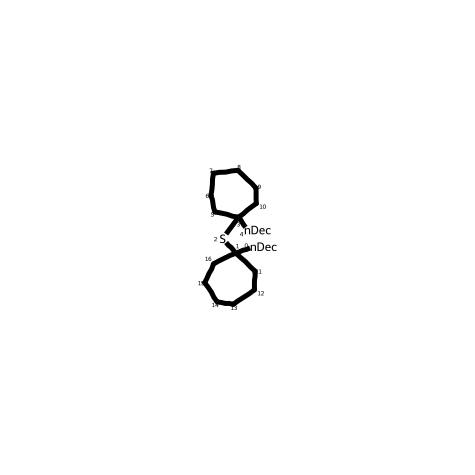 CCCCCCCCCCC1(SC2(CCCCCCCCCC)CCCCCC2)CCCCCC1